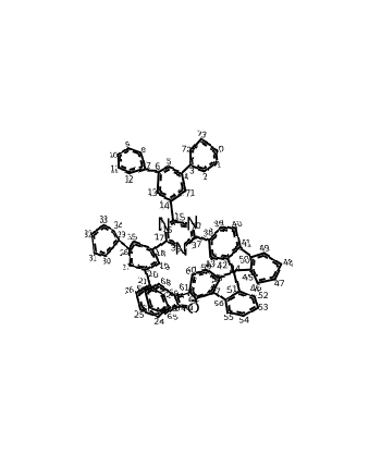 c1ccc(-c2cc(-c3ccccc3)cc(-c3nc(-c4cc(-c5ccccc5)cc(-c5ccccc5)c4)nc(-c4ccc5c(c4)C4(c6ccccc6-5)c5ccccc5-c5c4ccc4c5oc5ccccc54)n3)c2)cc1